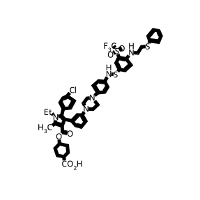 CCn1c(C)c(C(=O)OC2CCC(C(=O)O)CC2)c(-c2cccc(N3CCN(c4ccc(NSc5ccc(NCCSc6ccccc6)c(S(=O)(=O)C(F)(F)F)c5)cc4)CC3)c2)c1-c1ccc(Cl)cc1